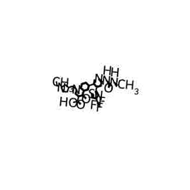 CCNC(=O)Nc1cc(-c2nc(C(F)(F)F)cs2)c(-c2ccc3c(c2)c(=O)c(C(=O)O)cn3CC2CCN(CC)C2)cn1